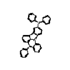 c1ccc(B2c3ccccc3-n3c4ccc(N(c5ccccc5)c5ccccc5)cc4c4cccc2c43)cc1